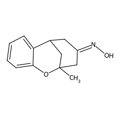 CC12CC(=NO)CC(C1)c1ccccc1O2